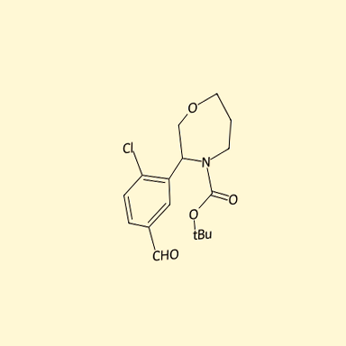 CC(C)(C)OC(=O)N1CCCOCC1c1cc(C=O)ccc1Cl